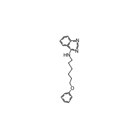 c1ccc(OCCCCCCNc2ncnc3ccccc23)cc1